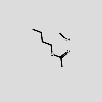 CCCCOC(C)=O.CO